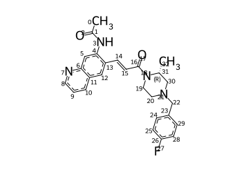 CC(=O)Nc1cc2ncccc2cc1C=CC(=O)N1CCN(Cc2ccc(F)cc2)C[C@H]1C